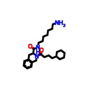 NCCCCCCCNC(=O)C1Cc2ccccc2CN1C(=O)CCCC1CCCCC1